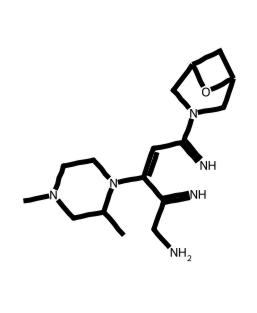 CC1CN(C)CCN1/C(=C/C(=N)N1CC2CC(C1)O2)C(=N)CN